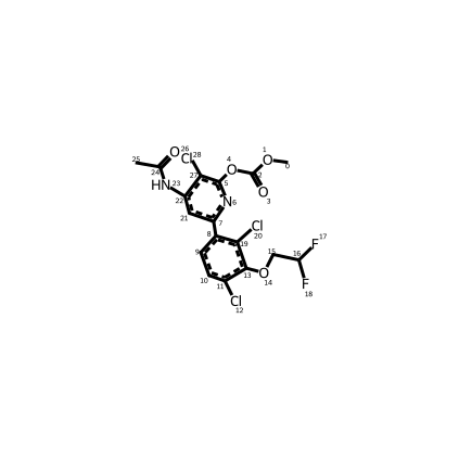 COC(=O)Oc1nc(-c2ccc(Cl)c(OCC(F)F)c2Cl)cc(NC(C)=O)c1Cl